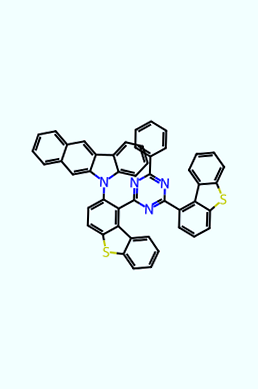 c1ccc(-c2nc(-c3cccc4sc5ccccc5c34)nc(-c3c(-n4c5ccccc5c5cc6ccccc6cc54)ccc4sc5ccccc5c34)n2)cc1